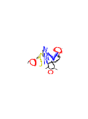 CCOCSc1cnc2n1C1=C(C)C(OC)=C(C)CC13C=CC=C(OC)N23